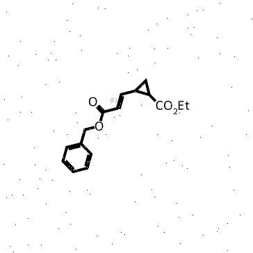 CCOC(=O)C1CC1/C=C/C(=O)OCc1ccccc1